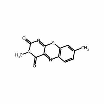 Cc1ccc2nc3c(=O)n(C)c(=O)nc-3sc2c1